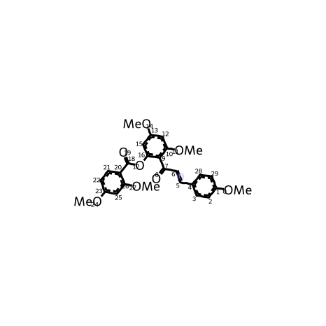 COc1ccc(/C=C/C(=O)c2c(OC)cc(OC)cc2OC(=O)c2ccc(OC)cc2OC)cc1